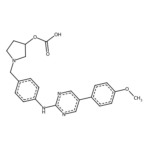 COc1ccc(-c2cnc(Nc3ccc(CN4CCC(OC(=O)O)C4)cc3)nc2)cc1